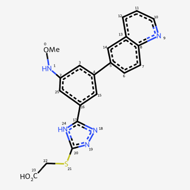 CONc1cc(-c2ccc3ncccc3c2)cc(-c2nnc(SCC(=O)O)[nH]2)c1